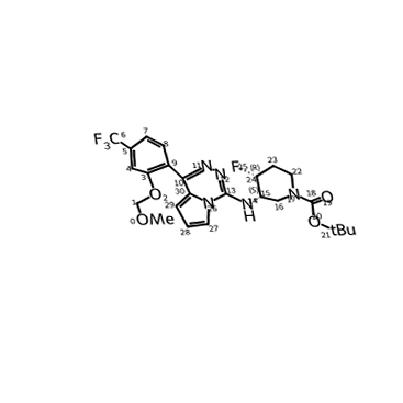 COCOc1cc(C(F)(F)F)ccc1-c1nnc(N[C@H]2CN(C(=O)OC(C)(C)C)CC[C@H]2F)n2cccc12